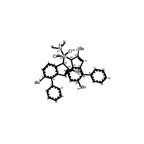 CCC(C)c1ccc2c(c1-c1ccccc1)C=C(C(C)(C)C)[CH]2[Zr]([Cl])([Cl])([CH]1C(C(C)(C)C)=Cc2c1ccc(C(C)CC)c2-c1ccccc1)[SiH](C)C